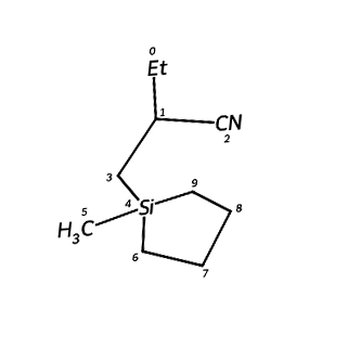 CCC(C#N)C[Si]1(C)CCCC1